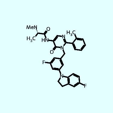 CN[C@@H](C)C(=O)Nc1cnc(-c2ccccc2C)n(Cc2cc(F)cc(N3CCc4cc(F)ccc43)c2)c1=O